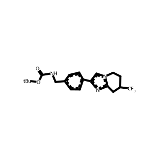 CC(C)(C)OC(=O)NCc1ccc(-c2cn3c(n2)CC(C(F)(F)F)CC3)cc1